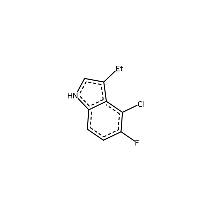 CCc1c[nH]c2ccc(F)c(Cl)c12